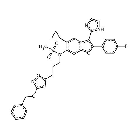 CS(=O)(=O)N(CCCc1cc(OCc2ccccc2)no1)c1cc2oc(-c3ccc(F)cc3)c(-c3ncc[nH]3)c2cc1C1CC1